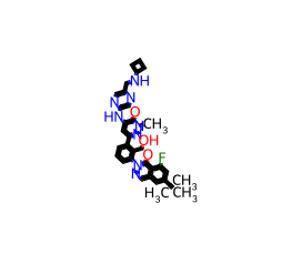 Cn1nc(-c2cccc(-n3ncc4cc(C(C)(C)C)cc(F)c4c3=O)c2CO)cc(Nc2cnc(CNC3CCC3)cn2)c1=O